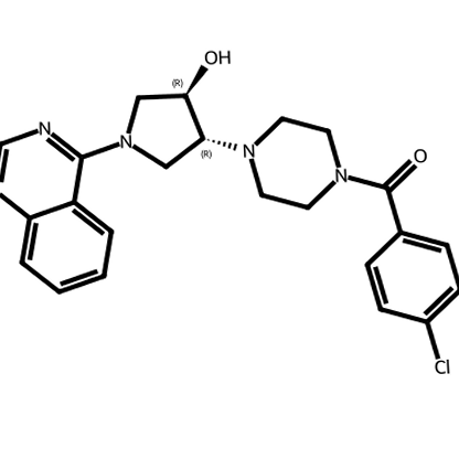 O=C(c1ccc(Cl)cc1)N1CCN([C@@H]2CN(c3ncnc4ccccc34)C[C@H]2O)CC1